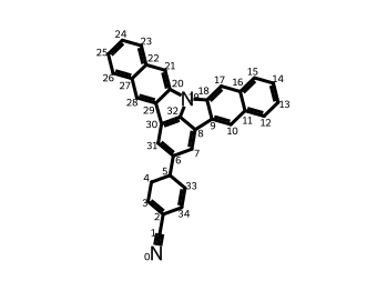 N#CC1=CCC(c2cc3c4cc5ccccc5cc4n4c5cc6ccccc6cc5c(c2)c34)C=C1